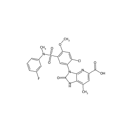 COc1cc(Cl)c(-n2c(=O)[nH]c3c(C)cc(C(=O)O)nc32)cc1S(=O)(=O)N(C)c1cccc(F)c1